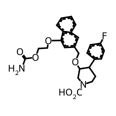 NC(=O)OCCOc1cc(COC2CN(C(=O)O)CCC2c2ccc(F)cc2)cc2ccccc12